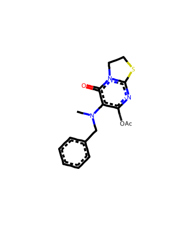 CC(=O)Oc1nc2n(c(=O)c1N(C)Cc1ccccc1)CCS2